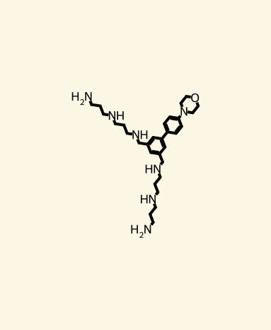 NCCCNCCCNCc1cc(CNCCCNCCCN)cc(-c2ccc(N3CCOCC3)cc2)c1